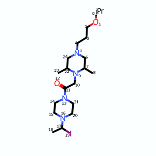 CC(C)OCCCN1CC(C)N(CC(=O)N2CCN(C(C)I)CC2)C(C)C1